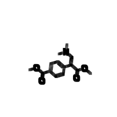 COC(=O)/C(=C/N(C)C)c1ccc(C(=O)OC)cc1